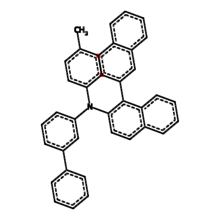 Cc1ccc(N(c2cccc(-c3ccccc3)c2)c2ccc3ccccc3c2-c2ccc3ccccc3c2)cc1